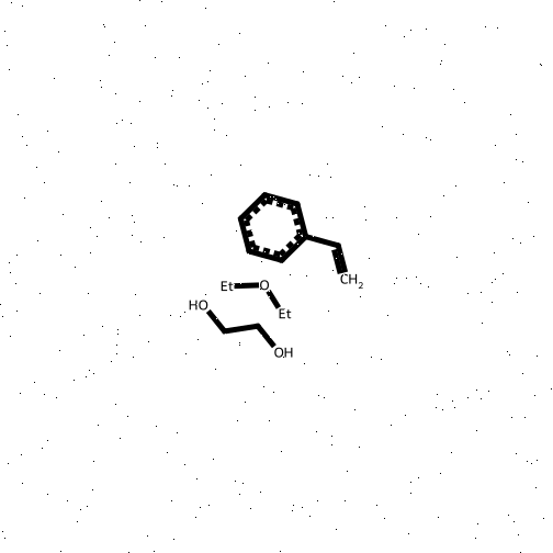 C=Cc1ccccc1.CCOCC.OCCO